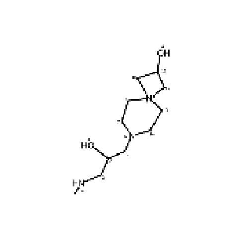 CNCC(O)CN1CC[N+]2(CC1)CC(O)C2